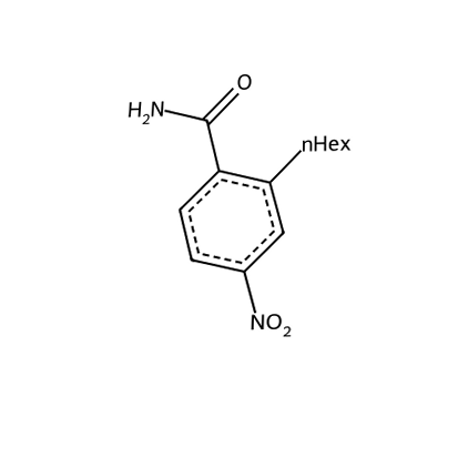 CCCCCCc1cc([N+](=O)[O-])ccc1C(N)=O